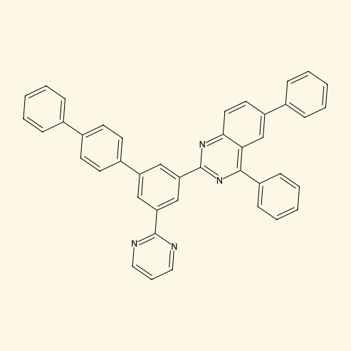 c1ccc(-c2ccc(-c3cc(-c4ncccn4)cc(-c4nc(-c5ccccc5)c5cc(-c6ccccc6)ccc5n4)c3)cc2)cc1